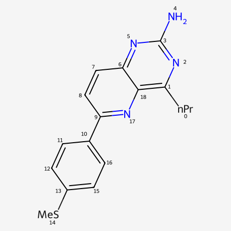 CCCc1nc(N)nc2ccc(-c3ccc(SC)cc3)nc12